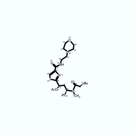 CC[C@H](C)CC(=O)N(C)[C@H](C[C@@H](OC(C)=O)c1nc(C(=O)NCCN2CCOCC2)cs1)C(C)C